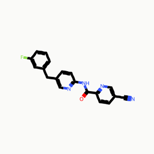 N#Cc1ccc(C(=O)Nc2ccc(Cc3cccc(F)c3)cn2)nc1